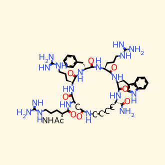 CC(=O)N[C@@H](CCCNC(=N)N)C(=O)NC1CC(=O)NCCCC[C@@H](C(N)=O)NC(=O)[C@H](Cc2c[nH]c3ccccc23)NC(=O)[C@H](CCCNC(=N)N)NC(=O)[C@@H](Cc2ccccc2)NC(=O)[C@H](CCCNC(=N)N)NC1=O